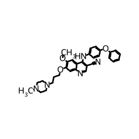 COc1cc2c(Nc3ccc(Oc4ccccc4)cc3)c(C#N)cnc2cc1OCCCN1CCN(C)CC1